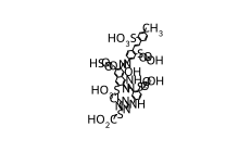 Cc1ccc(C=Cc2ccc(N=Nc3c(OOOS)cc4cc(S(=O)(=O)O)c(N=Nc5cc(Nc6nc(Cl)nc(SCC(=O)O)n6)ccc5SOOO)c(N)c4c3O)cc2SOOO)c(S(=O)(=O)O)c1